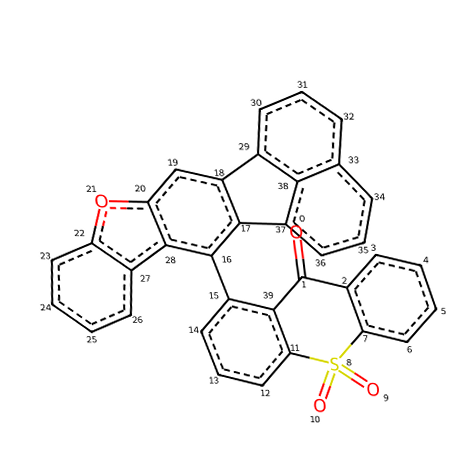 O=C1c2ccccc2S(=O)(=O)c2cccc(-c3c4c(cc5oc6ccccc6c35)-c3cccc5cccc-4c35)c21